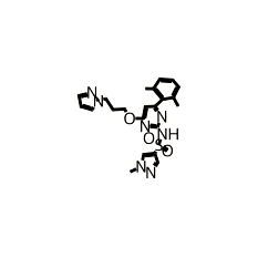 Cc1cccc(C)c1-c1cc(OCCCn2cccn2)nc(NS(=O)(=O)c2cnn(C)c2)n1